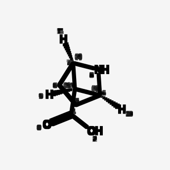 O=C(O)[C@@H]1[C@@H]2CC[C@H]1N2